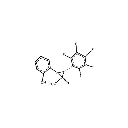 [2H][C@]1(C)[C@@H](c2c(F)c(F)c(F)c(F)c2F)N1c1ccccc1O